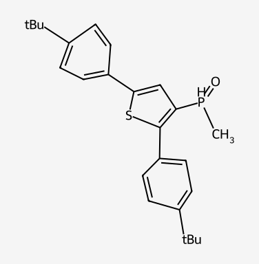 C[PH](=O)c1cc(-c2ccc(C(C)(C)C)cc2)sc1-c1ccc(C(C)(C)C)cc1